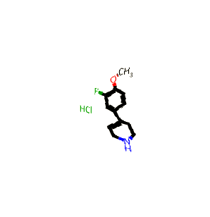 COc1ccc(C2=CCNCC2)cc1F.Cl